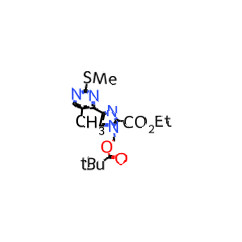 CCOC(=O)c1nc(-c2nc(SC)ncc2C)cn1COC(=O)C(C)(C)C